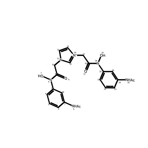 CC(=O)Nc1cccc(N(O)C(=O)Cn2cc[n+](CC(=O)N(O)c3cccc(NC(C)=O)c3)c2)c1